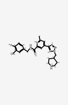 Cc1cc(-c2nnn(CC3CCNCC3)n2)cc(C(=O)NCc2ccc(F)c(Cl)c2)n1